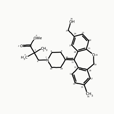 COC(=O)C(C)(C)CN1CCC(=C2c3ccc(C)cc3COc3ccc(CO)cc32)CC1